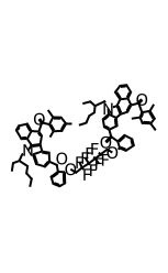 CCCCC(CC)Cn1c2ccc(C(=O)c3ccccc3OCC(F)(F)C(F)(F)C(F)(F)C(F)(F)COc3ccccc3C(=O)c3ccc4c(c3)c3cc(C(=O)c5c(C)cc(C)cc5C)c5ccccc5c3n4CC(CC)CCCC)cc2c2cc(C(=O)c3c(C)cc(C)cc3C)c3ccccc3c21